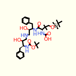 CC(C)(C)OC(=O)N[C@@H](Cc1ccccc1)C(O)CNC[C@@H](O)C(Cc1ccccc1)NC(=O)[C@@H](NC(=O)O)C(C)(C)CO[Si](C)(C)C(C)(C)C